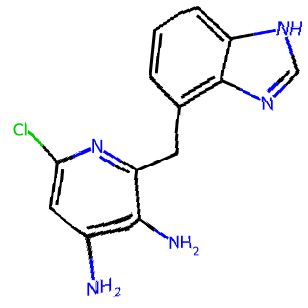 Nc1cc(Cl)nc(Cc2cccc3[nH]cnc23)c1N